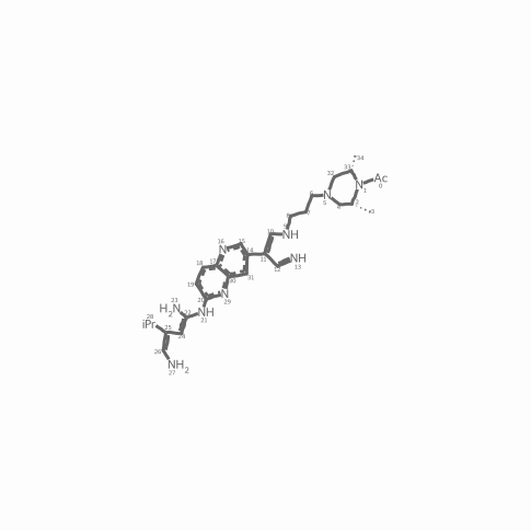 CC(=O)N1[C@H](C)CN(CCCN/C=C(\C=N)c2cnc3ccc(N/C(N)=C/C(=C\N)C(C)C)nc3c2)C[C@@H]1C